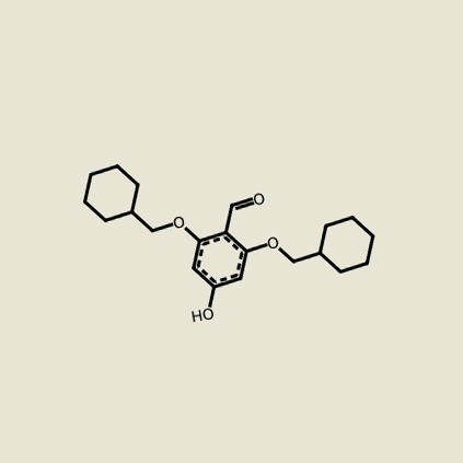 O=Cc1c(OCC2CCCCC2)cc(O)cc1OCC1CCCCC1